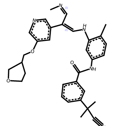 C/N=C\C(=C/Nc1cc(NC(=O)c2cccc(C(C)(C)C#N)c2)ccc1C)c1cncc(OCC2CCOC2)c1